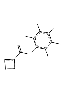 O=C(Oc1c(F)c(F)c(F)c(F)c1F)C1=CCC1